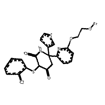 CCOCCOc1cccc(C2(c3ccsc3)CC(=O)C(Sc3ccccc3Cl)C(=O)N2)n1